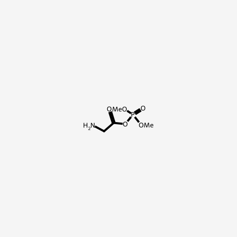 COP(=O)(OC)OC(=O)CN